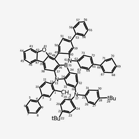 Cc1cc(-c2ccccc2)ccc1N1c2cc(N(c3ccc(C(C)(C)C)cc3)c3ccc(C(C)(C)C)cc3)ccc2B2c3c1cc1c(oc4ccccc41)c3-c1ccc(-c3ccccc3)cc1N2c1ccc(-c2ccccc2)cc1